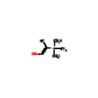 CC(C(=O)O)(C(=O)O)/C(C#N)=C/O